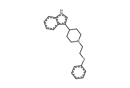 c1ccc(SCCN2CCC(c3c[nH]c4ccccc34)CC2)cc1